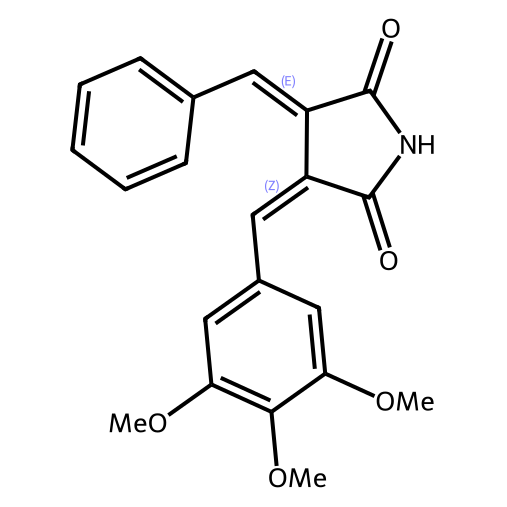 COc1cc(/C=C2\C(=O)NC(=O)\C2=C\c2ccccc2)cc(OC)c1OC